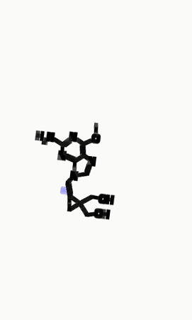 COc1nc(N)nc2c1ncn2/C=C1/CC1(CO)CO